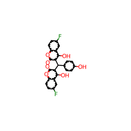 O=c1oc2ccc(F)cc2c(O)c1C(c1ccc(O)cc1)c1c(O)c2cc(F)ccc2oc1=O